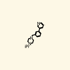 CC(C)N1CCN(Cc2cccc(-c3c[c]cnc3)c2)CC1